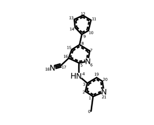 Cc1cc(Nc2ncc(-c3ccccc3)cc2C#N)ccn1